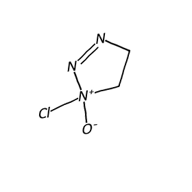 [O-][N+]1(Cl)CCN=N1